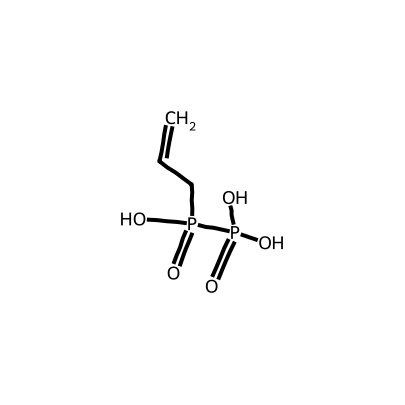 C=CCP(=O)(O)P(=O)(O)O